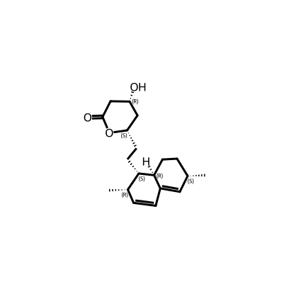 C[C@@H]1C=C2C=C[C@H](C)[C@H](CC[C@H]3C[C@@H](O)CC(=O)O3)[C@H]2CC1